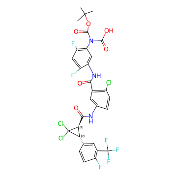 CC(C)(C)OC(=O)N(C(=O)O)c1cc(NC(=O)c2cc(NC(=O)[C@H]3[C@H](c4ccc(F)c(C(F)(F)F)c4)C3(Cl)Cl)ccc2Cl)c(F)cc1F